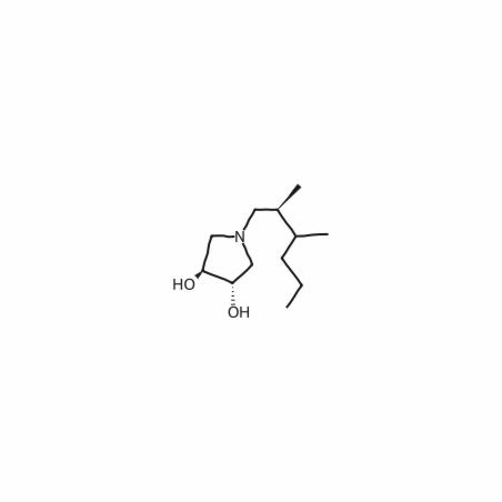 CCCC(C)[C@H](C)CN1C[C@H](O)[C@@H](O)C1